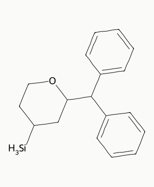 [SiH3]C1CCOC(C(c2ccccc2)c2ccccc2)C1